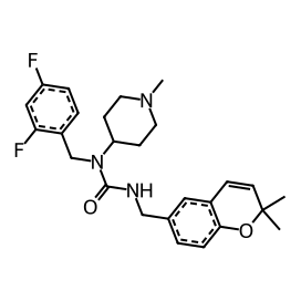 CN1CCC(N(Cc2ccc(F)cc2F)C(=O)NCc2ccc3c(c2)C=CC(C)(C)O3)CC1